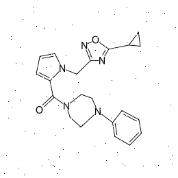 O=C(c1cccn1Cc1noc(C2CC2)n1)N1CCN(c2ccccc2)CC1